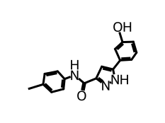 Cc1ccc(NC(=O)c2cc(-c3cccc(O)c3)[nH]n2)cc1